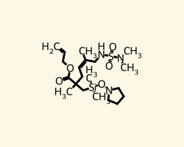 C=CCOC(=O)C(C)(CC=C(C)CNS(=O)(=O)N(C)C)C[Si](C)(C)ON1CCCC1